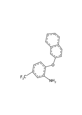 Nc1cc(C(F)(F)F)ccc1Oc1ccc2ccccc2c1